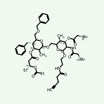 C#CCCC(=O)NCCO[C@H]1OC(CO[C@@H]2OC(COCc3ccccc3)[C@@H](Cc3ccccc3)[C@H](OC(=O)C[C@@H](CC)OC(=O)CC)C2C)[C@@H](C)[C@H](OC(=O)C[C@H](C)CC)C1NC(=O)C[C@H](C)CC